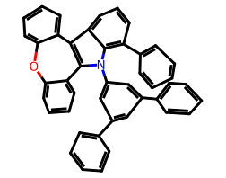 c1ccc(-c2cc(-c3ccccc3)cc(-n3c4c(c5cccc(-c6ccccc6)c53)-c3ccccc3Oc3ccccc3-4)c2)cc1